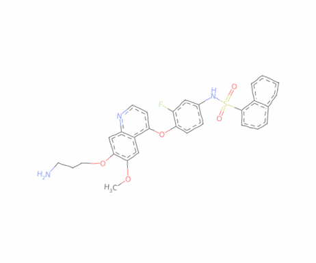 COc1cc2c(Oc3ccc(NS(=O)(=O)c4cccc5ccccc45)cc3F)ccnc2cc1OCCCN